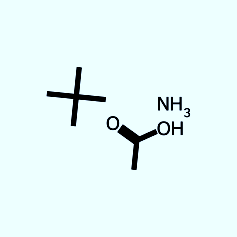 CC(=O)O.CC(C)(C)C.N